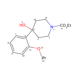 CCOC(=O)N1CCC(O)(c2ccccc2OC(C)C)CC1